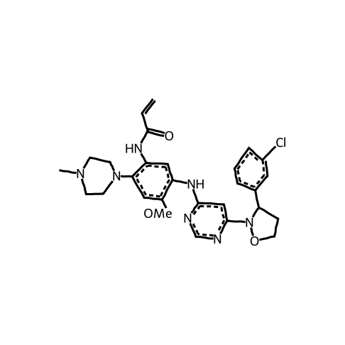 C=CC(=O)Nc1cc(Nc2cc(N3OCCC3c3cccc(Cl)c3)ncn2)c(OC)cc1N1CCN(C)CC1